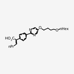 CCCC=C(C(=O)O)c1ccc(-c2ncc(OCCCCOCCCCCC)cn2)cc1